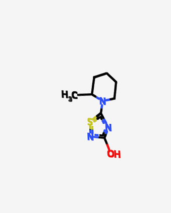 CC1CCCCN1c1nc(O)ns1